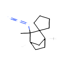 CC1(N=[N+]=[N-])[C@@H]2CC[C@@H](C2)C12CCCC2